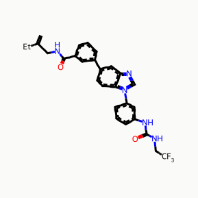 C=C(CC)CNC(=O)c1cccc(-c2ccc3c(c2)ncn3-c2cccc(NC(=O)NCC(F)(F)F)c2)c1